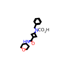 O=C(NC1CCOCC1)C1CC(N(Cc2ccccc2)C(=O)O)C1